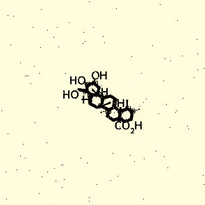 C[C@H]1[C@H](C)CC[C@]2(C(=O)O)CC[C@]3(C)C(=CC[C@@H]4[C@@]5(C)C[C@@H](O)[C@@H](O)[C@](C)(CO)[C@@H]5CC[C@]43C)[C@H]12